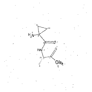 COC(=O)[C@H](C)NC(=O)C1(N)CC1